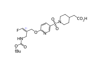 CC(C)(C)OC(=O)NC/C(=C\F)COc1ccc(S(=O)(=O)N2CCC(CC(=O)O)CC2)cn1